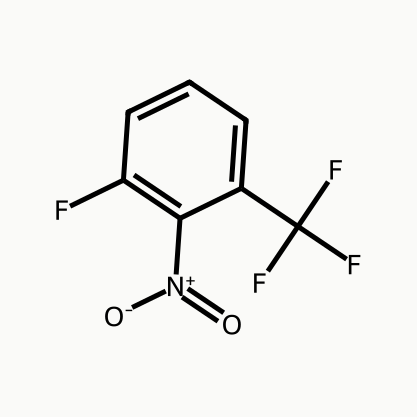 O=[N+]([O-])c1c(F)cccc1C(F)(F)F